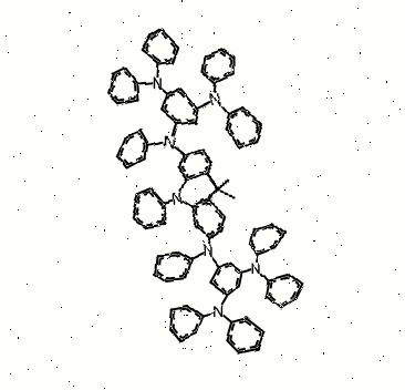 CC1(C)c2ccc(N(c3ccccc3)c3cc(N(c4ccccc4)c4ccccc4)cc(N(c4ccccc4)c4ccccc4)c3)cc2N(c2ccccc2)c2cc(N(c3ccccc3)c3cc(N(c4ccccc4)c4ccccc4)cc(N(c4ccccc4)c4ccccc4)c3)ccc21